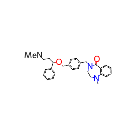 CNCCC(OCc1ccc(CN2CCN(C)c3ccccc3C2=O)cc1)c1ccccc1